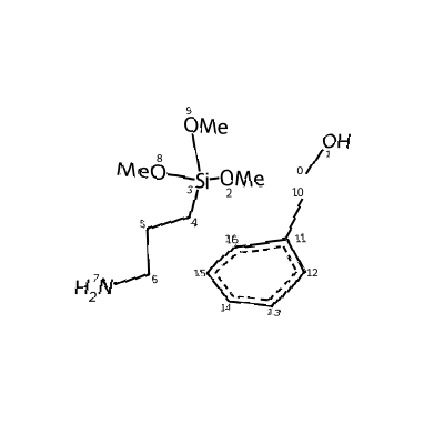 CO.CO[Si](CCCN)(OC)OC.Cc1ccccc1